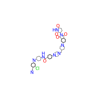 CN(c1ccc(C#N)c(Cl)c1)[C@H]1CC[C@H](NC(=O)c2ccc(N3CCN(CC4CCN(c5ccc6c(c5)C(=O)N(C5CCC(=O)NC5=O)C6=O)CC4)CC3)cc2)CC1